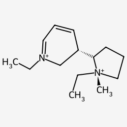 CC[N+]1=CC=C[C@H](C2CCC[N@+]2(C)CC)C1